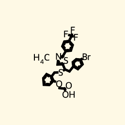 C.O=C(O)COc1ccccc1CSC(Cc1ccc(Br)cc1)c1cnc(-c2ccc(C(F)(F)F)cc2)s1